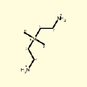 C[Si](C)(CCN)CCN